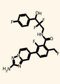 Nc1nc2cc(-c3ccc(CF)c(C(=O)NCC(F)(F)C(O)c4ccc(F)cc4)c3F)ccn2n1